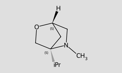 CC(C)[C@@]12CO[C@H](CN1C)C2